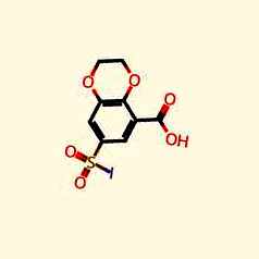 O=C(O)c1cc(S(=O)(=O)I)cc2c1OCCO2